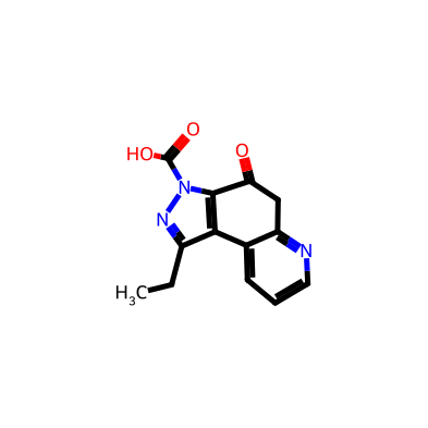 CCc1nn(C(=O)O)c2c1-c1cccnc1CC2=O